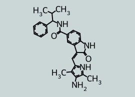 Cc1[nH]c(C=C2C(=O)Nc3ccc(C(=O)NC(c4ccccc4)C(C)C)cc32)c(C)c1N